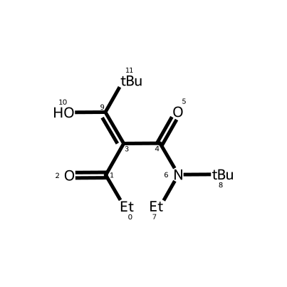 CCC(=O)/C(C(=O)N(CC)C(C)(C)C)=C(\O)C(C)(C)C